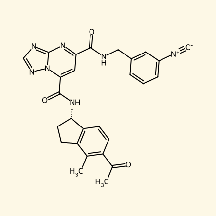 [C-]#[N+]c1cccc(CNC(=O)c2cc(C(=O)N[C@H]3CCc4c3ccc(C(C)=O)c4C)n3ncnc3n2)c1